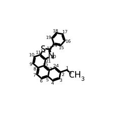 CCc1ccc2ccc3ccc4sc(-c5ccccc5)nc4c3c2c1